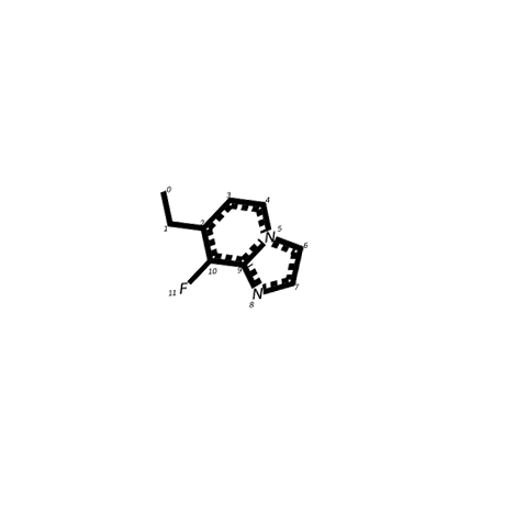 CCc1ccn2ccnc2c1F